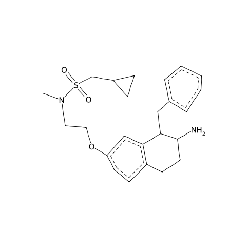 CN(CCOc1ccc2c(c1)C(Cc1ccccc1)C(N)CC2)S(=O)(=O)CC1CC1